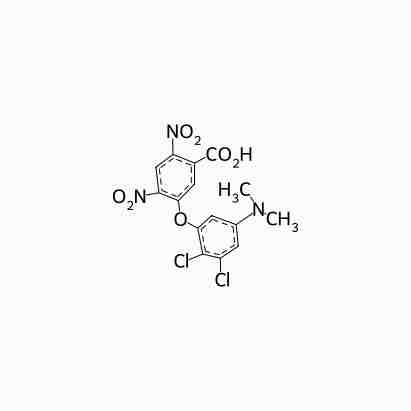 CN(C)c1cc(Cl)c(Cl)c(Oc2cc(C(=O)O)c([N+](=O)[O-])cc2[N+](=O)[O-])c1